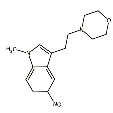 Cn1cc(CCN2CCOCC2)c2c1=CCC(N=O)C=2